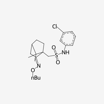 CCCCON=C1CC2CCC1(CS(=O)(=O)Nc1cccc(Cl)c1)C2(C)C